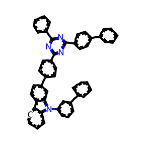 c1ccc(-c2ccc(-c3nc(-c4ccccc4)nc(-c4ccc(-c5ccc6c7ccccc7n(-c7cccc(-c8ccccc8)c7)c6c5)cc4)n3)cc2)cc1